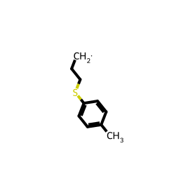 [CH2]CCSc1ccc(C)cc1